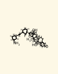 C[C@]12C=CC(=O)C=C1CC[C@@H]1[C@@H]2[C@@H](O)C[C@@]2(C)[C@H]1C[C@H]1O[C@@H](c3cccc(C#Cc4cccc(N)c4)c3F)O[C@]12C(=O)CO